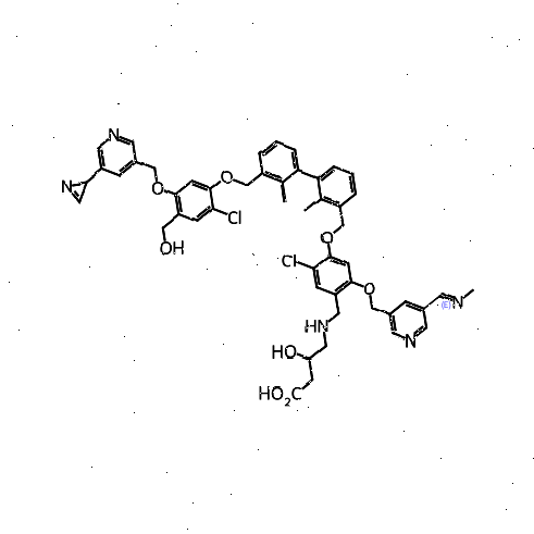 C/N=C/c1cncc(COc2cc(OCc3cccc(-c4cccc(COc5cc(OCc6cncc(C7C=N7)c6)c(CO)cc5Cl)c4C)c3C)c(Cl)cc2CNCC(O)CC(=O)O)c1